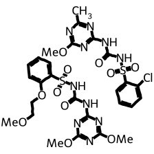 COCCOc1ccccc1S(=O)(=O)NC(=O)Nc1nc(OC)nc(OC)n1.COc1nc(C)nc(NC(=O)NS(=O)(=O)c2ccccc2Cl)n1